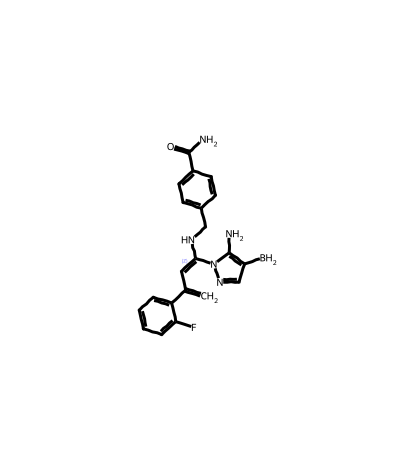 Bc1cnn(/C(=C\C(=C)c2ccccc2F)NCc2ccc(C(N)=O)cc2)c1N